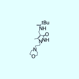 C=C(NCc1c(C)n(CCN2CCOCC2)[nH]c1=O)C(C)(C)C